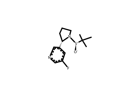 CC(C)(C)[S@@+]([O-])N1CCC[C@H]1c1cncc(F)c1